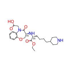 CCOC(=O)[C@H](CCCCC1CCNCC1)N[C@H]1COc2ccccc2N(CC(=O)O)C1=O